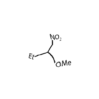 CCC(OC)[N+](=O)[O-]